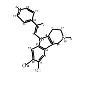 CC(=Cn1c2c(c3cc(Cl)c(Cl)cc31)CN(C)CC2)c1ccncc1